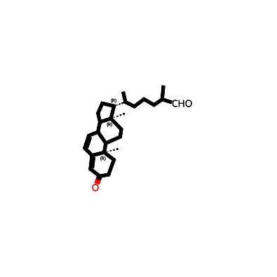 CC(C=O)CCCC(C)[C@H]1CCC2C3C=CC4=CC(=O)CC[C@]4(C)C3CC[C@@]21C